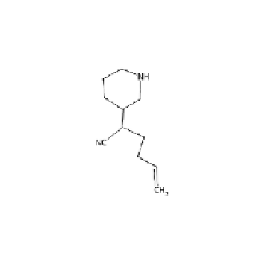 C=CCCC(C#N)C1CCCNC1